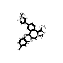 Cc1nnn2c1-c1ccc(-c3cnn(C)c3)cc1C(Nc1ccc(F)cc1F)CC2